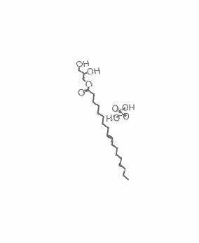 CCCCCCCCC=CCCCCCCCC(=O)OCC(O)CO.O=S(=O)(O)O